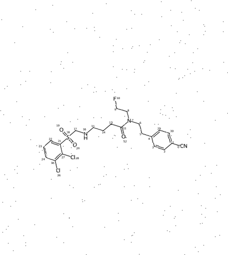 N#Cc1ccc(CCN(CCF)C(=O)CCCNCS(=O)(=O)c2cccc(Cl)c2Cl)cc1